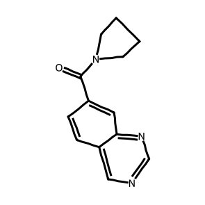 O=C(c1ccc2cncnc2c1)N1CCCC1